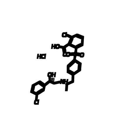 CC(Cc1ccc(S(=O)(=O)c2cccc(Cl)c2C(=O)O)cc1)NC[C@H](O)c1cccc(Cl)c1.Cl